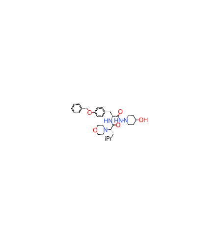 CC(C)C[C@@H](C(=O)N[C@@H](Cc1ccc(OCc2ccccc2)cc1)C(=O)NN1CCC(O)CC1)N1CCOCC1